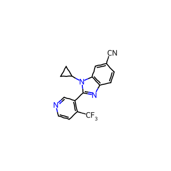 N#Cc1ccc2nc(-c3cnccc3C(F)(F)F)n(C3CC3)c2c1